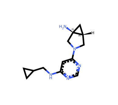 N[C@@]12C[C@@H]1CN(c1cc(NCC3CC3)ncn1)C2